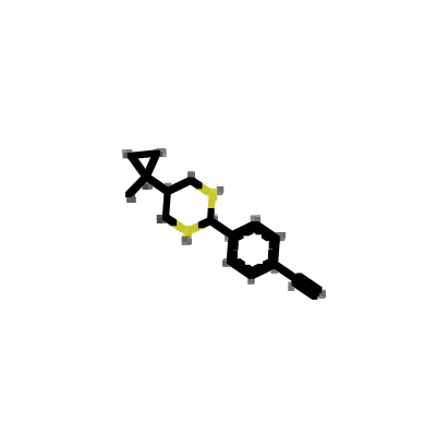 C#Cc1ccc(C2SCC(C3(C)CC3)CS2)cc1